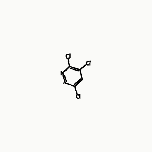 Clc1[c]nc(Cl)c(Cl)c1